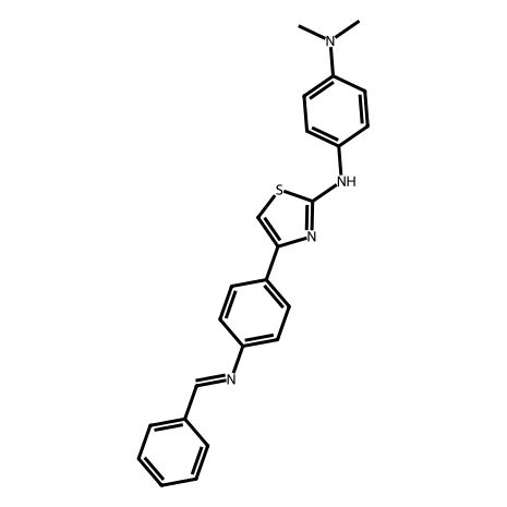 CN(C)c1ccc(Nc2nc(-c3ccc(N=Cc4ccccc4)cc3)cs2)cc1